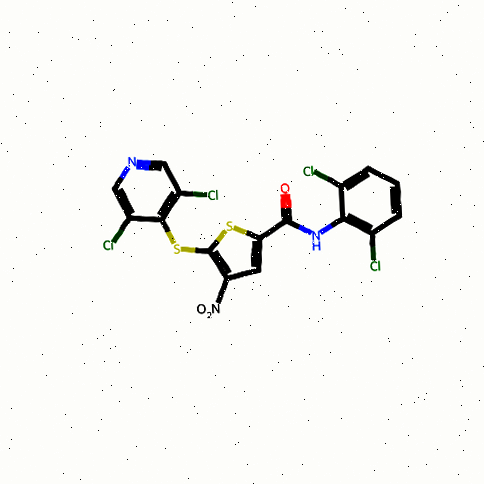 O=C(Nc1c(Cl)cccc1Cl)c1cc([N+](=O)[O-])c(Sc2c(Cl)cncc2Cl)s1